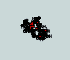 CCCCOC(CNC1(C)CC(OC2C(Oc3c4cc5cc3Oc3ccc(cc3Cl)[C@@H](O)[C@@H]3NC(=O)C(NC(=O)[C@@H]5NC(=O)[C@H](CC(N)=O)NC(=O)C(NC(=O)[C@@H](CC(C)C)NC)[C@H](O)c5ccc(c(Cl)c5)O4)c4ccc(O)c(c4)-c4c(O)cc(O)cc4[C@H](C(=O)O)NC3=O)OC(CO)C(O)C2O)OC(C)C1O)C(=O)OC